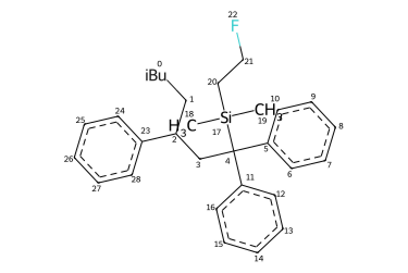 CCC(C)CC(CC(c1ccccc1)(c1ccccc1)[Si](C)(C)CCF)c1ccccc1